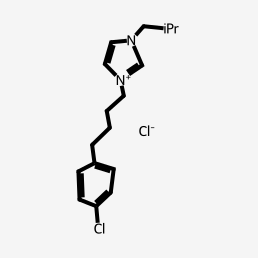 CC(C)Cn1cc[n+](CCCCc2ccc(Cl)cc2)c1.[Cl-]